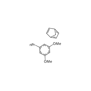 C1=CC2=CC=C1C2.CCCc1cc(OC)cc(OC)c1